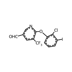 O=Cc1cnc(Oc2cccc(I)c2Cl)c(C(F)(F)F)c1